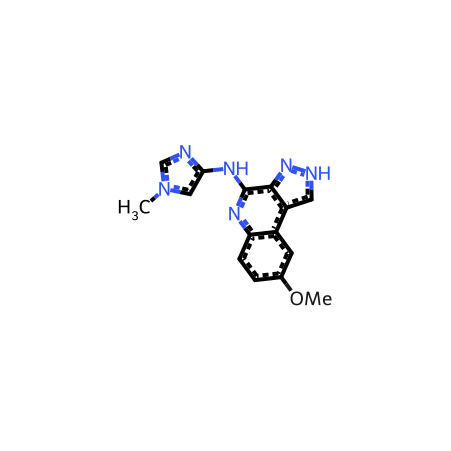 COc1ccc2nc(Nc3cn(C)cn3)c3n[nH]cc3c2c1